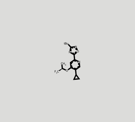 C[C@@H](Oc1cc(-c2nc(C(C)(C)C)no2)ncc1C1CC1)C(F)(F)F